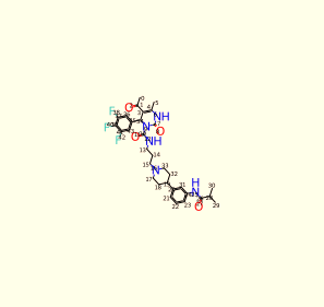 CC(=O)C1=C(C)NC(=O)N(C(=O)NCCCN2CCC(c3cccc(NC(=O)C(C)C)c3)CC2)C1c1cc(F)c(F)c(F)c1